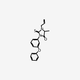 C=CCN1C(=S)N(c2cccc(Oc3ccccc3)c2)C(=O)C1C